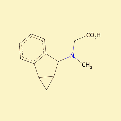 CN(CC(=O)O)C1c2ccccc2C2CC21